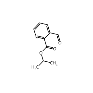 CC(C)OC(=O)c1ncccc1C=O